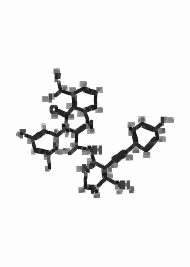 Cc1cc(F)cc(-n2c(C(C)Nc3ncnc(N)c3C#Cc3ccc(F)cn3)nc3cccc(C(F)F)c3c2=O)c1